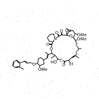 CCC1/C=C(\C)CC(C)CC(OC)C2OC(O)(C(=O)C(=O)N3CCCCC3C(=O)OC(C(C)=CC3CCC(OCC=Cc4ccccc4C)C(OC)C3)C(C)C(O)CC1=O)C(C)CC2OC